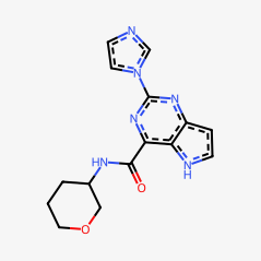 O=C(NC1CCCOC1)c1nc(-n2ccnc2)nc2cc[nH]c12